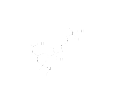 CC(O)CC(COP(=O)(O)OCCOP(=O)(O)O)CC(C)(C)NF